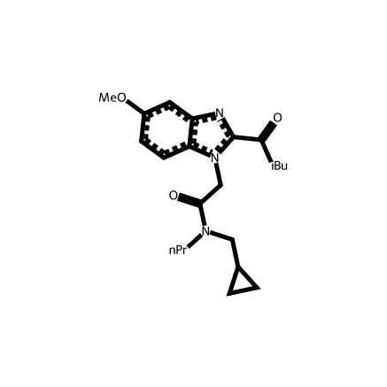 CCCN(CC1CC1)C(=O)Cn1c(C(=O)C(C)CC)nc2cc(OC)ccc21